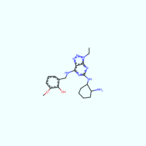 CCn1nnc2c(NCc3cccc(OC)c3O)nc(NC3CCCCC3N)nc21